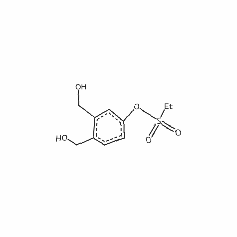 CCS(=O)(=O)Oc1ccc(CO)c(CO)c1